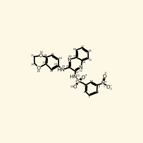 O=[N+]([O-])c1cccc(S(=O)(=O)Nc2nc3ccccc3nc2Nc2ccc3c(c2)OCCO3)c1